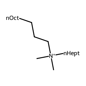 CCCCCCCCCCC[N+](C)(C)CCCCCCC